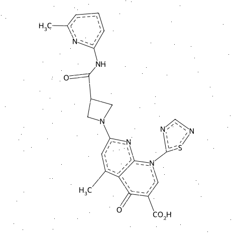 Cc1cccc(NC(=O)C2CN(c3cc(C)c4c(=O)c(C(=O)O)cn(-c5ncns5)c4n3)C2)n1